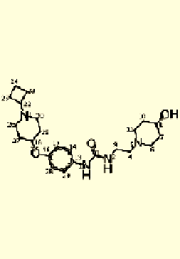 O=C(NCCN1CCC(O)CC1)Nc1ccc(OC2CCN(C3CCC3)CC2)cc1